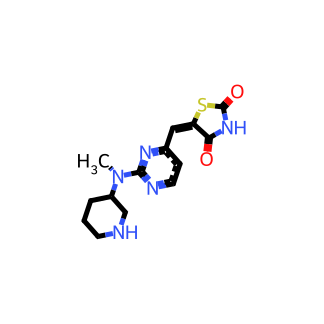 CN(c1nccc(/C=C2/SC(=O)NC2=O)n1)C1CCCNC1